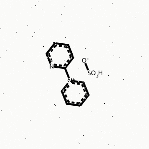 O=S(=O)([O-])O.c1cc[n+](-c2ccccn2)cc1